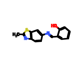 Cc1nc2ccc(/N=C/c3ccccc3O)cc2s1